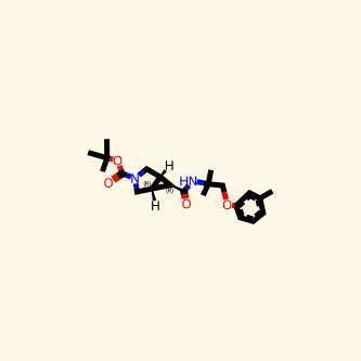 Cc1cccc(OCC(C)(C)NC(=O)[C@H]2[C@@H]3CN(C(=O)OC(C)(C)C)C[C@@H]32)c1